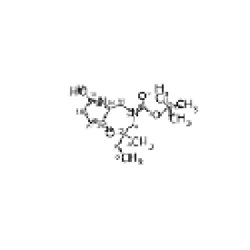 CCC1(C)CN(C(=O)OC(C)(C)C)Cc2nc(O)ccc2O1